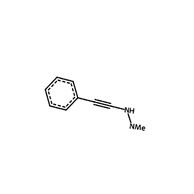 CNNC#Cc1ccccc1